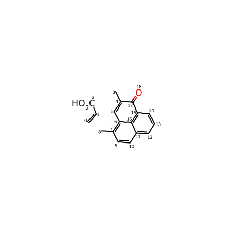 C=CC(=O)O.CC1=Cc2c(C)ccc3cccc(c23)C1=O